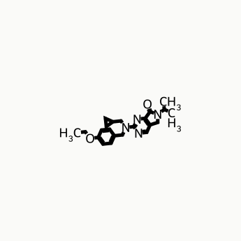 CCOc1ccc(CN(CC2CC2)c2ncc3c(n2)C(=O)N(C(C)C)C3)cc1